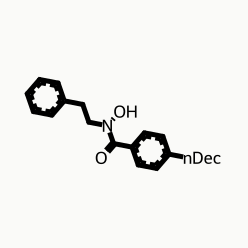 CCCCCCCCCCc1ccc(C(=O)N(O)CCc2ccccc2)cc1